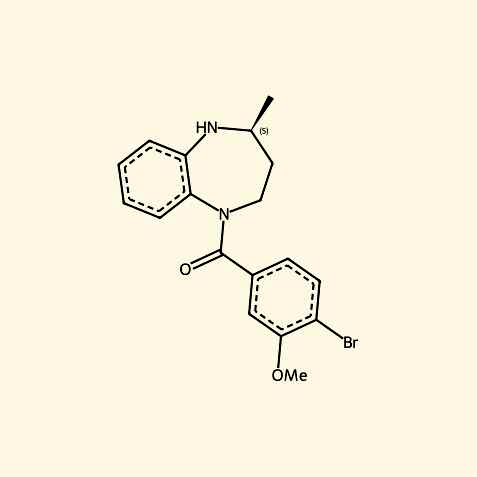 COc1cc(C(=O)N2CC[C@H](C)Nc3ccccc32)ccc1Br